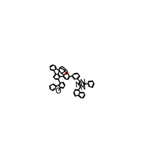 c1ccc(-c2nc(-c3cccc(-c4ccc(-c5c(-c6cccc7oc8ccccc8c67)ccc6c5C5(c7ccccc7-6)C6CC7CC(C6)CC5C7)cc4)c3)nc(-c3cccc4ccccc34)n2)cc1